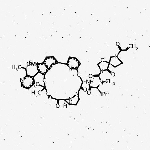 C=CC(=O)N1CC[C@]2(C1)OCN(C(=O)N(C)[C@H](C(=O)N[C@H]1Cc3cccc(n3)-c3ccc4c(c3)c(c(-c3cccnc3[C@H](C)OC)n4CC)CC(C)(C)COC(=O)[C@@H]3CCCN(N3)C1=O)C(C)C)C2=O